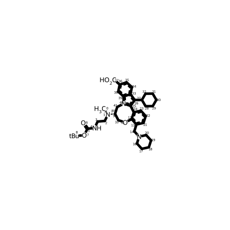 CN(CCNC(=O)OC(C)(C)C)[C@H]1COc2c(CN3CCCCC3)cccc2-c2c(C3CCCCC3)c3ccc(C(=O)O)cc3n2C1